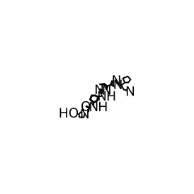 N#CCC(C1CCCC1)n1cc(-c2ccnc(Nc3cccc(NC(=O)CN4CCC(O)C4)c3)n2)cn1